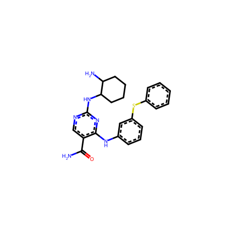 NC(=O)c1cnc(NC2CCCCC2N)nc1Nc1cccc(Sc2ccccc2)c1